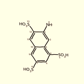 [NH]c1cc2c(S(=O)(=O)O)cc(S(=O)(=O)O)cc2cc1S(=O)(=O)O